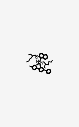 CCCCC(CC)COc1ccc2ccccc2c1-c1nc2c3cc(C)ccc3c3ccc(-c4ccccc4)cc3c2n1CC(CC)CCCC